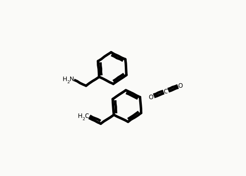 C=Cc1ccccc1.NCc1ccccc1.O=C=O